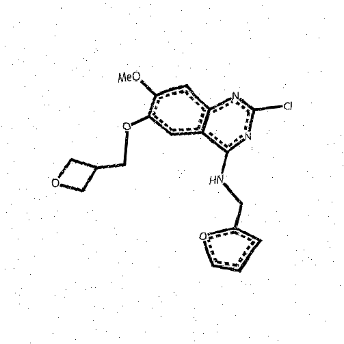 COc1cc2nc(Cl)nc(NCc3ccco3)c2cc1OCC1COC1